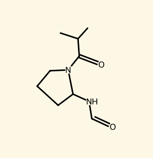 CC(C)C(=O)N1CCCC1NC=O